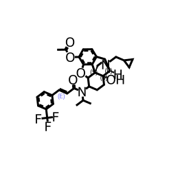 CC(=O)Oc1ccc2c3c1OC1C(N(C(=O)/C=C/c4cccc(C(F)(F)F)c4)C(C)C)CC[C@@]4(O)[C@@H](C2)N(CC2CC2)CC[C@]314